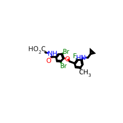 Cc1cc(COc2c(Br)cc(C(=O)NCC(=O)O)cc2Br)c(F)c(NCC2CC2)c1